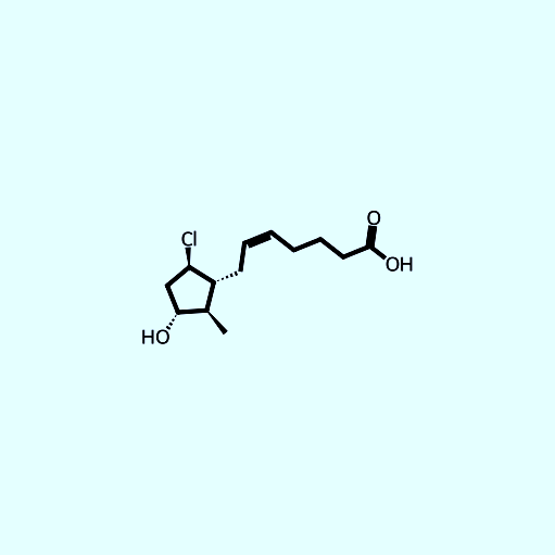 C[C@@H]1[C@@H](C/C=C\CCCC(=O)O)[C@H](Cl)C[C@H]1O